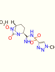 Cn1cc(S(=O)(=O)NC(=N)[C@@H]2CC[C@@H]3CN2C(=O)N3OS(=O)(=O)O)nn1